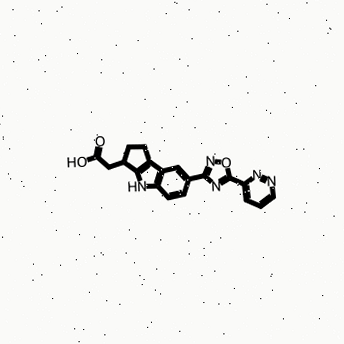 O=C(O)CC1CCc2c1[nH]c1ccc(-c3noc(-c4cccnn4)n3)cc21